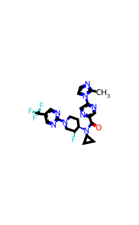 Cc1nccn1-c1cnc(C(=O)N(C2CC2)[C@@H]2CCN(c3ncc(C(F)(F)F)cn3)C[C@@H]2F)cn1